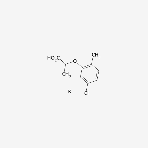 Cc1ccc(Cl)cc1OC(C)C(=O)O.[K]